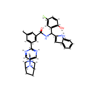 Cc1cc(C(=O)NC(c2cc3ccccc3[nH]2)c2cc(F)ccc2O)cc(-c2ncc(N3C4CCC3CN(C)C4)cn2)c1